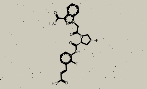 CC(=O)c1nn(CC(=O)N2C[C@H](F)C[C@H]2C(=O)Nc2cccc(/C=C/C(=O)O)c2F)c2ccccc12